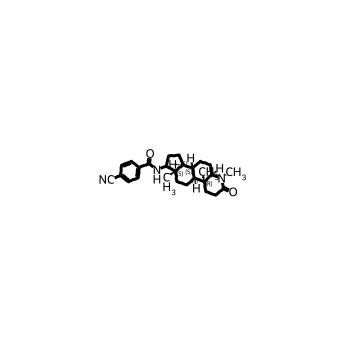 CN1C(=O)CC[C@]2(C)[C@H]3CC[C@]4(C)C(NC(=O)c5ccc(C#N)cc5)CC[C@H]4[C@@H]3CC[C@@H]12